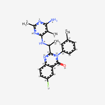 Cc1nc(N)c(C#N)c(NC(C)c2nc3ccc(F)cc3c(=O)n2-c2cccc(C#N)c2)n1